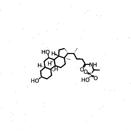 CC(NC(=O)CC[C@@H](C)[C@H]1CC[C@H]2[C@@H]3[C@H](O)C[C@@H]4C[C@H](O)CC[C@]4(C)[C@H]3CC[C@]12C)S(=O)(=O)O